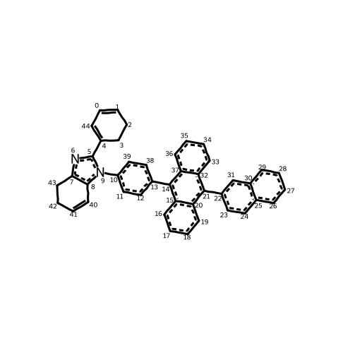 C1=CCCC(c2nc3c(n2-c2ccc(-c4c5ccccc5c(-c5ccc6ccccc6c5)c5ccccc45)cc2)C=CCC3)=C1